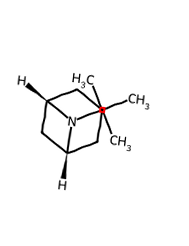 CC(C)(C)N1[C@@H]2CCC[C@H]1C2